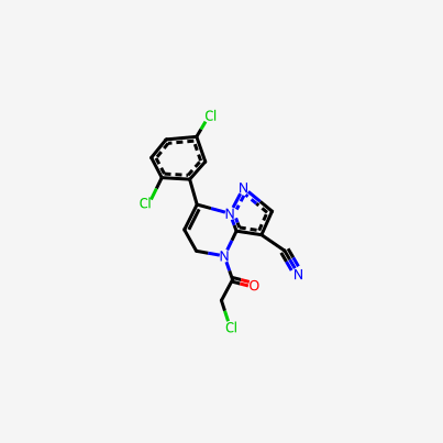 N#Cc1cnn2c1N(C(=O)CCl)CC=C2c1cc(Cl)ccc1Cl